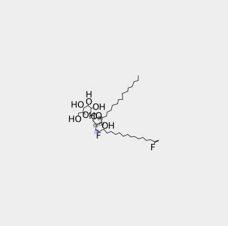 C=C(F)CCCCCCCCCCCCC/C(F)=C\[C@@H](COC1OC(CO)C(O)C(O)C1O)[C@H](O)[C@H](O)CCCCCCCCCCCCCC